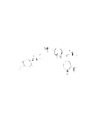 CCO/N=C(\c1ccc(F)c(F)c1)c1ccc(CN2CC3(C2)CN(c2ccc(F)cc2)C3)cn1